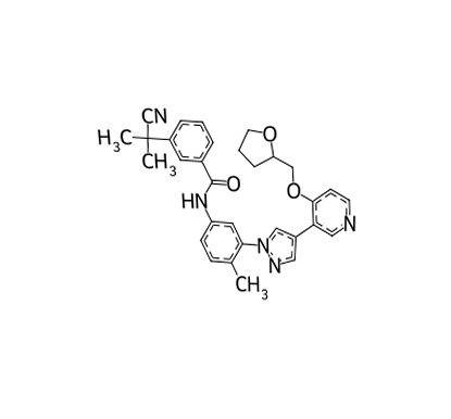 Cc1ccc(NC(=O)c2cccc(C(C)(C)C#N)c2)cc1-n1cc(-c2cnccc2OCC2CCCO2)cn1